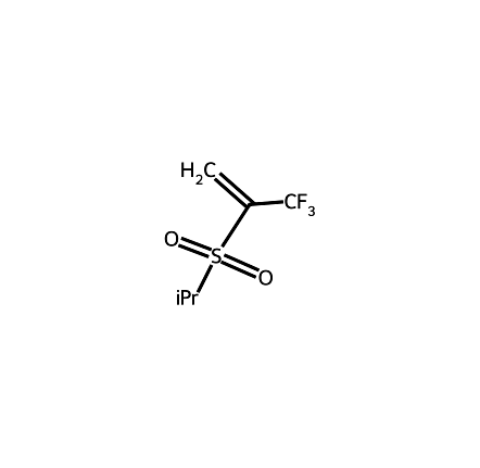 C=C(C(F)(F)F)S(=O)(=O)C(C)C